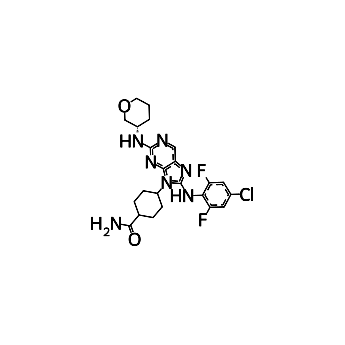 NC(=O)C1CCC(n2c(Nc3c(F)cc(Cl)cc3F)nc3cnc(N[C@H]4CCCOC4)nc32)CC1